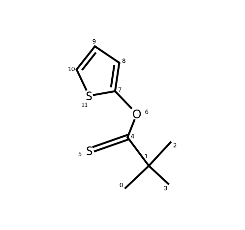 CC(C)(C)C(=S)Oc1cccs1